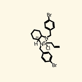 C=CC[Si]1(Cl)N(Cc2ccc(Br)cc2)C2CCCC[C@H]2N1Cc1ccc(Br)cc1